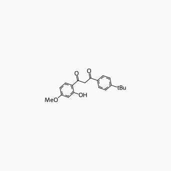 COc1ccc(C(=O)CC(=O)c2ccc(C(C)(C)C)cc2)c(O)c1